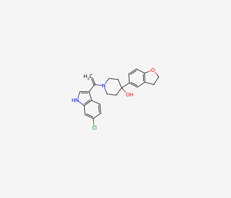 C=C(c1c[nH]c2cc(Cl)ccc12)N1CCC(O)(c2ccc3c(c2)CCO3)CC1